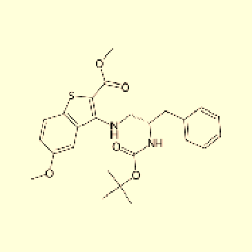 COC(=O)c1sc2ccc(OC)cc2c1NC[C@H](Cc1ccccc1)NC(=O)OC(C)(C)C